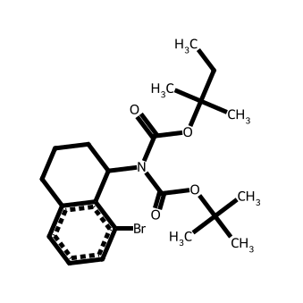 CCC(C)(C)OC(=O)N(C(=O)OC(C)(C)C)C1CCCc2cccc(Br)c21